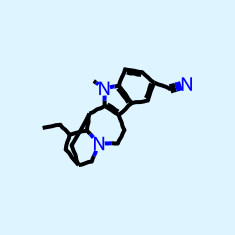 CCC1CC2CC3c4c(c5cc(C#N)ccc5n4C)CCN(C2)C13